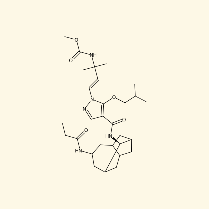 CCC(=O)NC1CC2CC3CC2CC(C1)[C@H]3NC(=O)c1cnn(/C=C/C(C)(C)NC(=O)OC)c1OCC(C)C